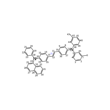 Cc1cccc(N(c2ccc(/C=C/c3ccc(N(c4ccccc4)c4cccc5ccccc45)cc3)cc2)c2cccc(C)c2)c1